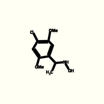 COc1cc(C(C)NO)c(OC)cc1Cl